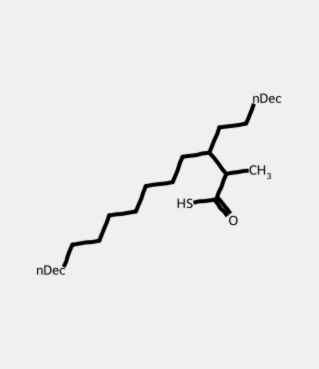 CCCCCCCCCCCCCCCCCC(CCCCCCCCCCCC)C(C)C(=O)S